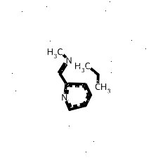 CCC.CN=Cc1ccccn1